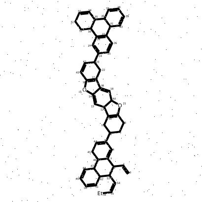 C=CC1C2=CC(C3CCC4=C(C3)C3C=c5oc6c(c5=CC3O4)CC(c3ccc4c(c3)C3CCC=CC3C3C=CC=CC43)C=C6)=CCC2C2C=CC=CC2C1/C=C\CC